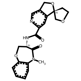 CN1C(=O)[C@@H](NC(=O)c2cc3c(cn2)CO[C@@]32CCOC2)COc2ccccc21